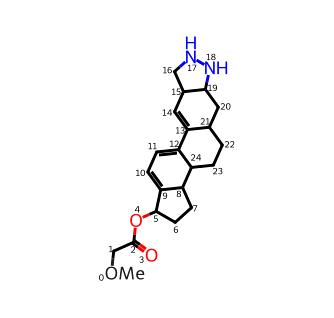 COCC(=O)OC1CCC2C1=CC=C1C3=CC4CNNC4CC3CCC12